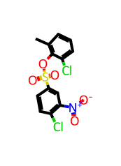 Cc1cccc(Cl)c1OS(=O)(=O)c1ccc(Cl)c([N+](=O)[O-])c1